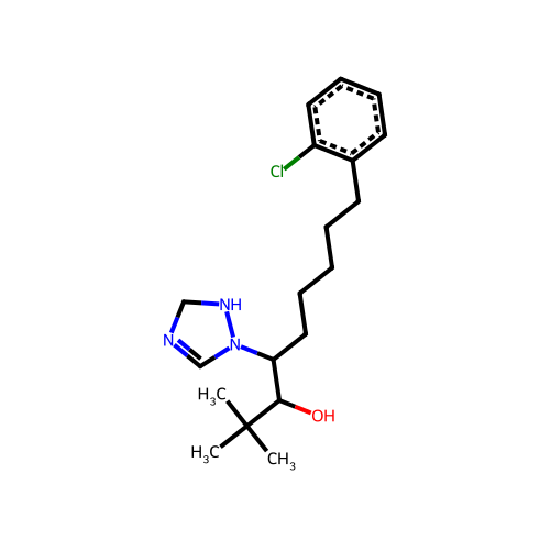 CC(C)(C)C(O)C(CCCCCc1ccccc1Cl)N1C=NCN1